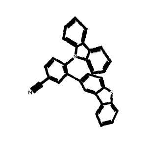 N#Cc1ccc(-n2c3ccccc3c3ccccc32)c(-c2ccc3sc4ccccc4c3c2)c1